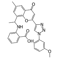 COc1cccc(-n2cc(-c3cc(=O)c4cc(C)cc(C(C)Nc5ccccc5C(=O)O)c4o3)nn2)c1